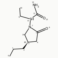 CCC[C@@H]1CC(=O)N([SH](CC)C(N)=O)C1